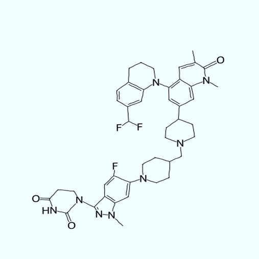 Cc1cc2c(N3CCCc4ccc(C(F)F)cc43)cc(C3CCN(CC4CCN(c5cc6c(cc5F)c(N5CCC(=O)NC5=O)nn6C)CC4)CC3)cc2n(C)c1=O